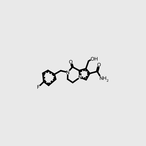 NC(=O)c1cn2c(c1CO)C(=O)N(Cc1ccc(F)cc1)CC2